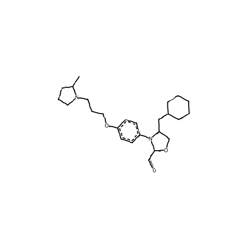 CC1CCCN1CCCOc1ccc(N2C(CC3CCCCC3)COC2C=O)cc1